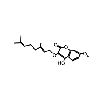 COc1ccc2c(O)c(OC/C=C(\C)CCC=C(C)C)c(=O)oc2c1